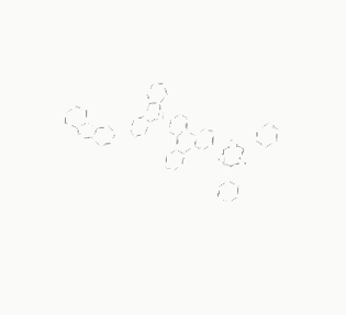 c1ccc(-c2nc(-c3ccccc3)nc(-c3ccc4c5ccc(-n6c7ccccc7c7cc(-c8ccc9oc%10ccccc%10c9c8)ccc76)cc5c5ccccc5c4c3)n2)cc1